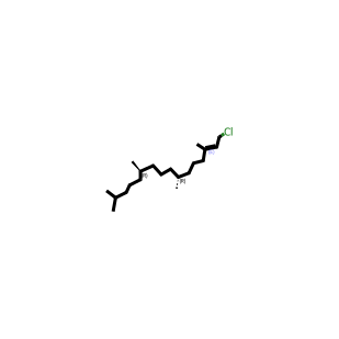 C/C(=C\CCl)CCC[C@H](C)CCC[C@H](C)CCCC(C)C